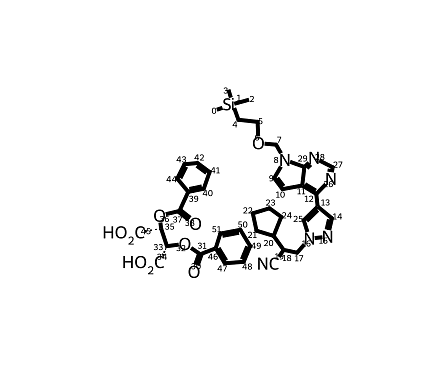 C[Si](C)(C)CCOCn1ccc2c(-c3cnn(CC(C#N)C4CCCC4)c3)ncnc21.O=C(O[C@H](C(=O)O)[C@@H](OC(=O)c1ccccc1)C(=O)O)c1ccccc1